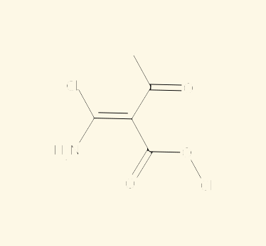 CC(=O)C(C(=O)OCl)=C(N)Cl